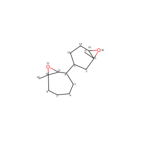 CC12CC(C3CCCCC4(C)OC34)CCC1O2